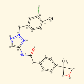 CC1(c2ccc(CC(=O)Nc3cnn(Cc4ccc(C#N)c(F)c4)n3)cc2)COC1